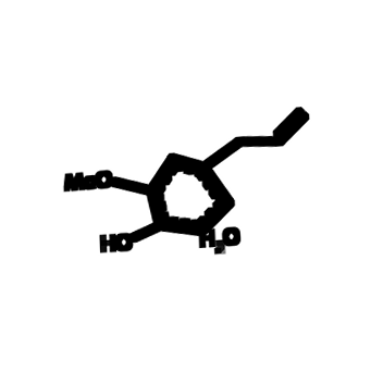 C=CCc1ccc(O)c(OC)c1.O